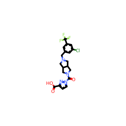 O=C(O)c1ccn(C(=O)N2CC3CN(Cc4cc(Cl)cc(C(F)(F)F)c4)CC3C2)n1